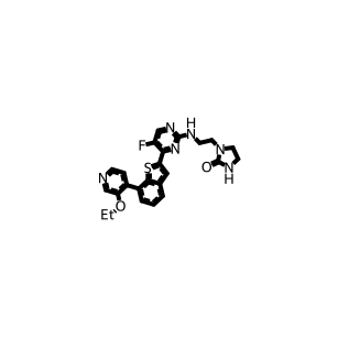 CCOc1cnccc1-c1cccc2cc(-c3nc(NCCN4CCNC4=O)ncc3F)sc12